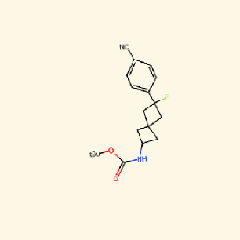 CC(C)(C)OC(=O)NC1CC2(C1)CC(F)(c1ccc(C#N)cc1)C2